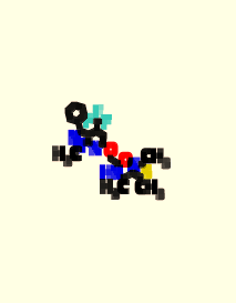 Cc1nc(C(C)NC(=O)COc2cc(C(F)(F)F)c3c(-c4ccccc4)nn(C)c3n2)c(C)s1